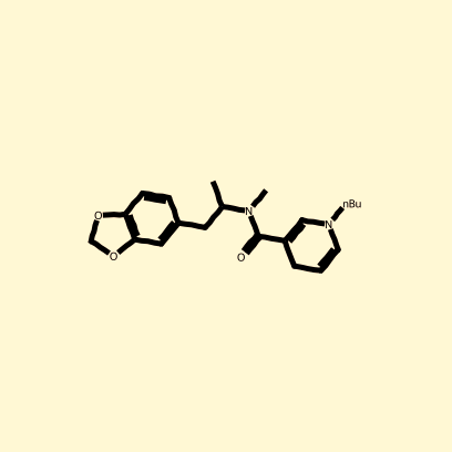 CCCCN1C=CCC(C(=O)N(C)C(C)Cc2ccc3c(c2)OCO3)=C1